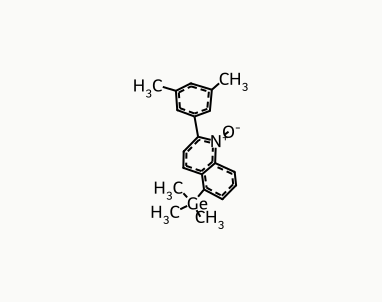 Cc1cc(C)cc(-c2ccc3[c]([Ge]([CH3])([CH3])[CH3])cccc3[n+]2[O-])c1